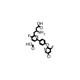 NC(CC(=O)O)Cc1nc(-c2ccc(Oc3ncc(Cl)cc3F)cc2)ccc1F.O=CO